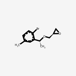 Cc1ccc(Br)c([C@@H](C)OC[C@H]2CO2)c1